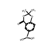 CC1(C)OC(=O)c2cc(N(O)O)ccc2O1